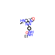 C=CC[C@@H]1NCCc2c1nc(-c1ccc(NC(=O)NCC)cc1)nc2N1CCOC[C@@H]1C